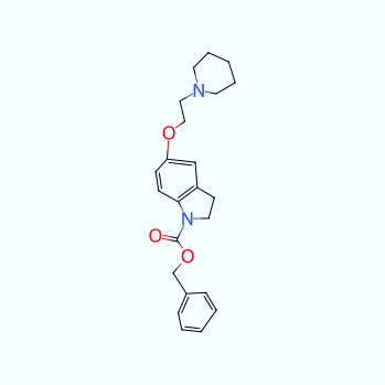 O=C(OCc1ccccc1)N1CCc2cc(OCCN3CCCCC3)ccc21